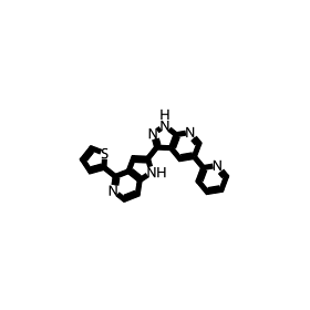 c1ccc(-c2cnc3[nH]nc(-c4cc5c(-c6cccs6)nccc5[nH]4)c3c2)nc1